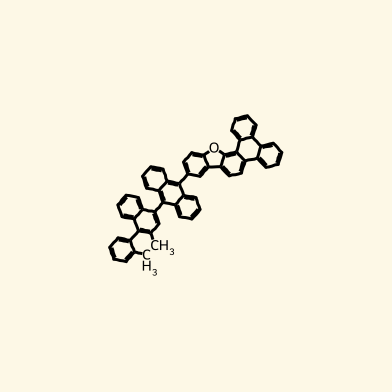 Cc1ccccc1-c1c(C)cc(-c2c3ccccc3c(-c3ccc4oc5c(ccc6c7ccccc7c7ccccc7c65)c4c3)c3ccccc23)c2ccccc12